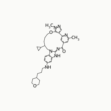 Cc1cc2cc(n1)-c1cnn(C)c1OCCCC(C1CC1)CN1/C(=N/C2=O)Nc2cc(NCCCC3CCOCC3)ccc21